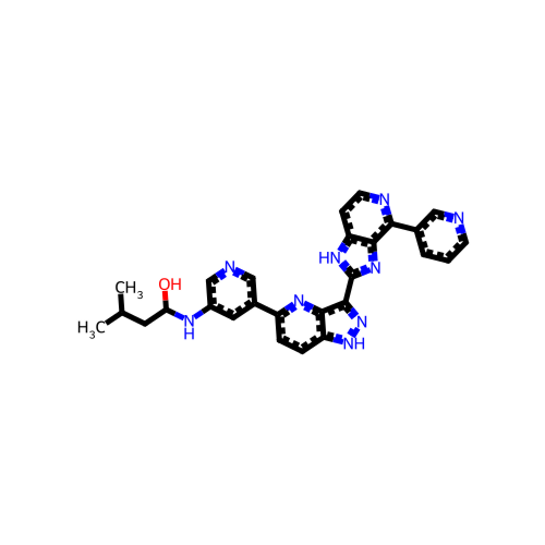 CC(C)CC(O)Nc1cncc(-c2ccc3[nH]nc(-c4nc5c(-c6cccnc6)nccc5[nH]4)c3n2)c1